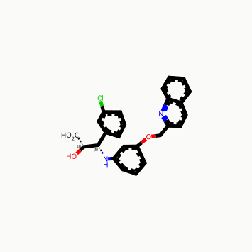 O=C(O)[C@@H](O)[C@@H](Nc1cccc(OCc2ccc3ccccc3n2)c1)c1cccc(Cl)c1